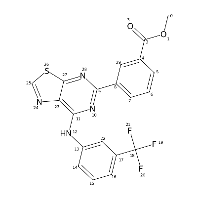 COC(=O)c1cccc(-c2nc(Nc3cccc(C(F)(F)F)c3)c3ncsc3n2)c1